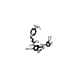 COc1cc2ncnc(Nc3ccc(F)c(Cl)c3)c2cc1NC(=O)/C=C/CN1CCC(N)CC1